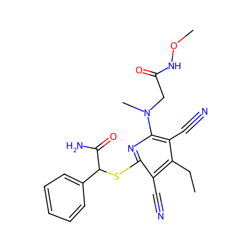 CCc1c(C#N)c(SC(C(N)=O)c2ccccc2)nc(N(C)CC(=O)NOC)c1C#N